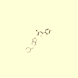 Fc1cc(F)c(-c2cc(C(F)(F)F)c(NC3C[C@@H]4CN(CC5CCOCC5)C[C@@H]4C3)nn2)cc1F